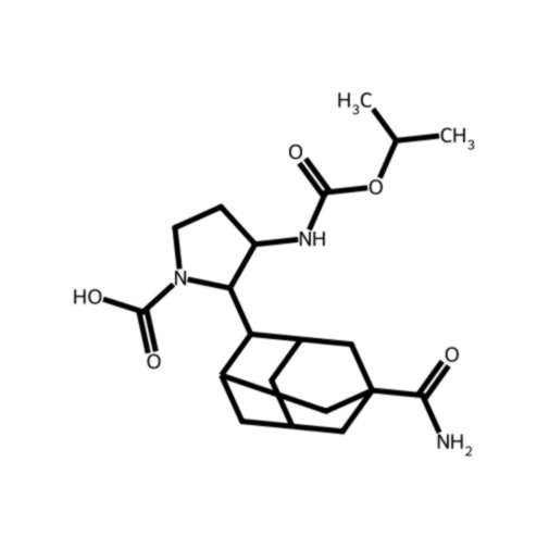 CC(C)OC(=O)NC1CCN(C(=O)O)C1C1C2CC3CC1CC(C(N)=O)(C3)C2